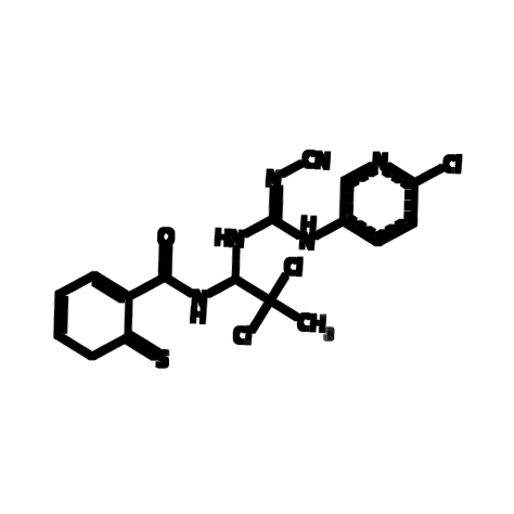 CC(Cl)(Cl)C(NC(=O)C1=CC=CCC1=S)NC(=NC#N)Nc1ccc(Cl)nc1